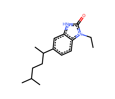 CCn1c(=O)[nH]c2cc(C(C)CCC(C)C)ccc21